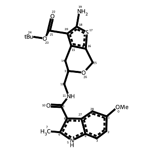 COc1ccc2[nH]c(C)c(C(=O)NCC3Cc4c(sc(N)c4C(=O)OC(C)(C)C)CO3)c2c1